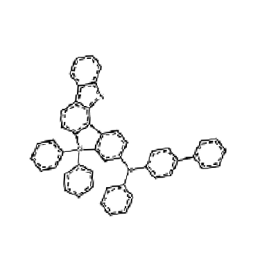 c1ccc(-c2ccc(N(c3ccccc3)c3ccc4c(c3)[Si](c3ccccc3)(c3ccccc3)c3ccc5c(sc6ccccc65)c3-4)cc2)cc1